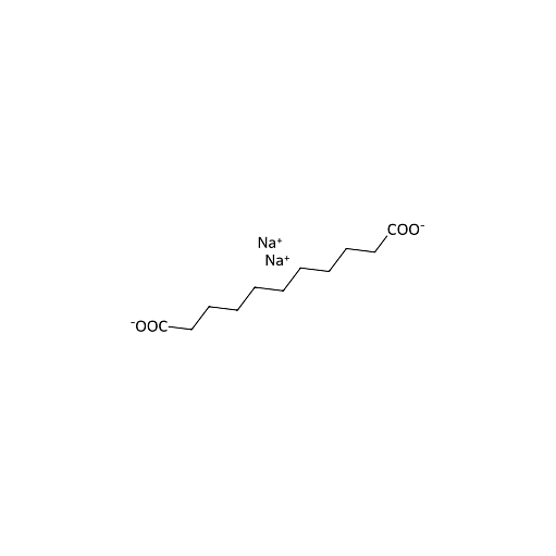 O=C([O-])CCCCCCCCCC(=O)[O-].[Na+].[Na+]